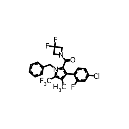 Cc1c(-c2ccc(Cl)cc2F)c(C(=O)N2CC(F)(F)C2)n(Cc2ccccc2)c1C(F)(F)F